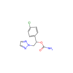 NC(=O)OC(Cn1nccn1)c1ccc(Cl)cc1